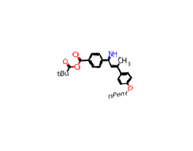 CCCCCOc1ccc(C(C)=CC(=N)c2ccc(C(=O)OC(=O)C(C)(C)C)cc2)cc1